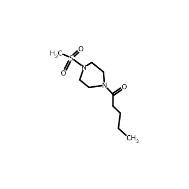 CCCCC(=O)N1CCN(S(C)(=O)=O)CC1